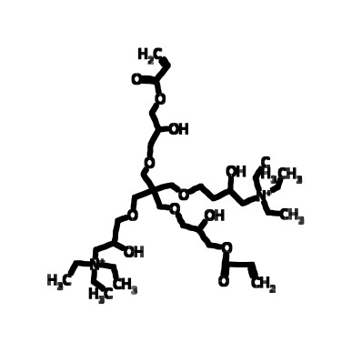 C=CC(=O)OCC(O)COCC(COCCC(O)C[N+](CC)(CC)CC)(COCC(O)COC(=O)C=C)COCC(O)C[N+](CC)(CC)CC